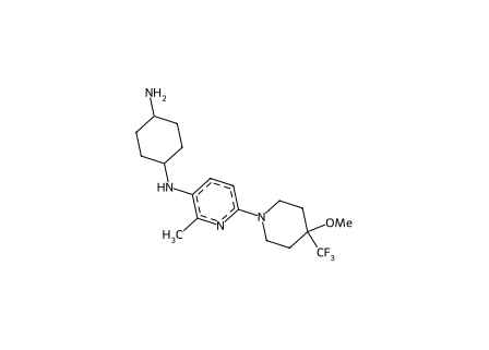 COC1(C(F)(F)F)CCN(c2ccc(NC3CCC(N)CC3)c(C)n2)CC1